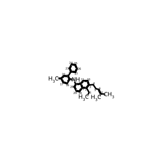 CCc1c(CCC=C(C)C)ccc2c(Nc3ccc(C)cc3-c3ccccc3)cccc12